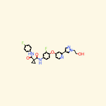 O=C(Nc1ccc(F)cc1)C1(C(=O)Nc2ccc(Oc3ccnc(-c4cnn(CCO)c4)c3)c(F)c2)CC1